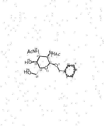 CC(=O)N[C@H]1[C@@H](OCc2ccccc2)O[C@H](CO)[C@@H](O)[C@@H]1NC(C)=O